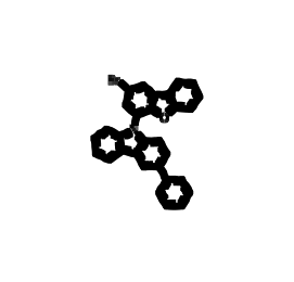 Brc1cc(-n2c3ccccc3c3cc(-c4ccccc4)ccc32)c2oc3ccccc3c2c1